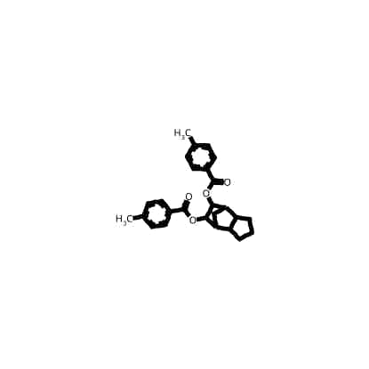 Cc1ccc(C(=O)OC2C3CC(C4CCCC43)C2OC(=O)c2ccc(C)cc2)cc1